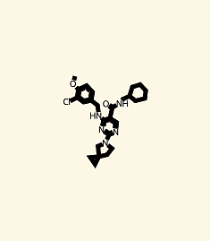 COc1ccc(CNc2nc(N3CCC4(CC4)C3)ncc2C(=O)NCC2CCCCC2)cc1Cl